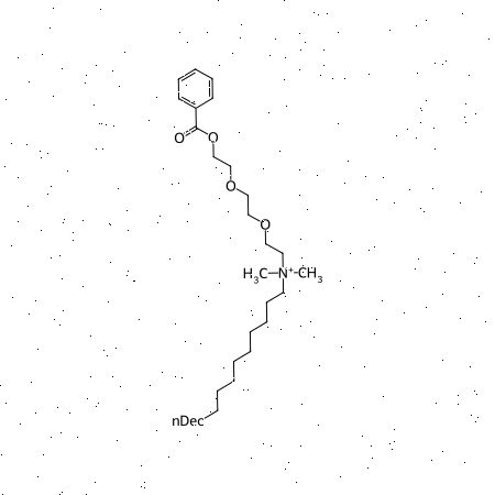 CCCCCCCCCCCCCCCCCCC[N+](C)(C)CCOCCOCCOC(=O)c1ccccc1